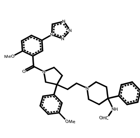 COc1cccc(C2(CCN3CCC(NC=O)(c4ccccc4)CC3)CCN(C(=O)c3cc(-n4cnnn4)ccc3OC)C2)c1